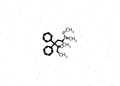 CCC(=O)C(CC(C)N(C)[P]C)(c1ccccc1)c1ccccc1